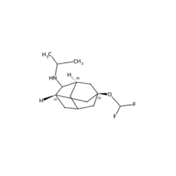 CC(C)NC1[C@@H]2CC3C[C@H]1C[C@@](OC(F)F)(C3)C2